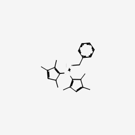 CC1=CC(C)[C](/[Zr](=[SiH]/Cc2ccccc2)[C]2=C(C)C=C(C)C2C)=C1C